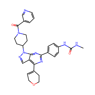 CNC(=O)Nc1ccc(-c2nc(C3=CCOCC3)c3cnn(C4CCN(C(=O)c5cccnc5)CC4)c3n2)cc1